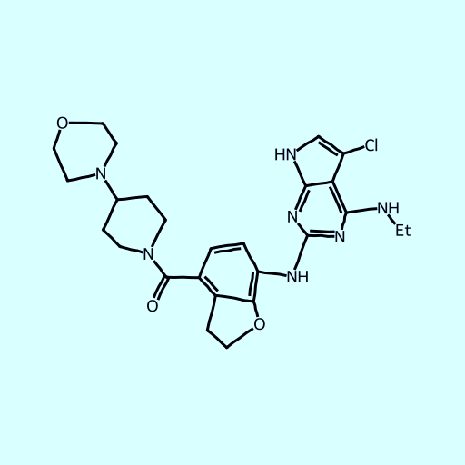 CCNc1nc(Nc2ccc(C(=O)N3CCC(N4CCOCC4)CC3)c3c2OCC3)nc2[nH]cc(Cl)c12